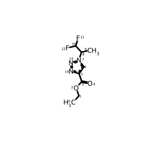 CCOC(=O)c1cn(C(C)C(F)F)nn1